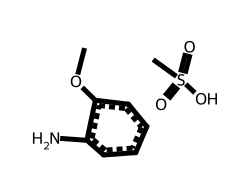 COc1ccccc1N.CS(=O)(=O)O